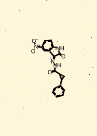 O=C1Nc2ccc([N+](=O)[O-])cc2/C1=N/NC(=O)C1CC1c1ccccc1